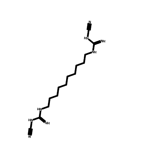 N#CNC(=N)NCCCCCCCCCCNC(=N)NC#N